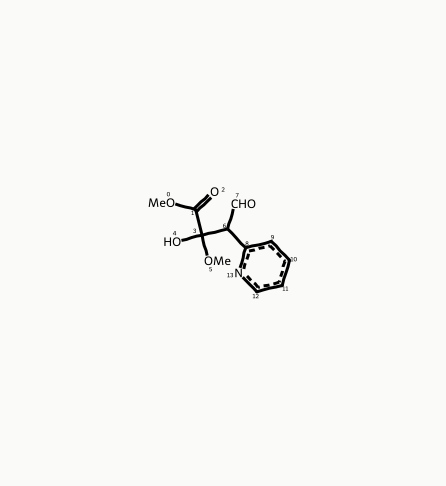 COC(=O)C(O)(OC)C(C=O)c1ccccn1